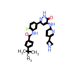 CC(C)(C)c1ccc(C(=O)Nc2cc(-c3cc(Nc4ccc(C5CNC5)cn4)c(=O)[nH]n3)ccc2F)cc1